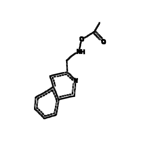 CC(=O)ONCc1cc2ccccc2cn1